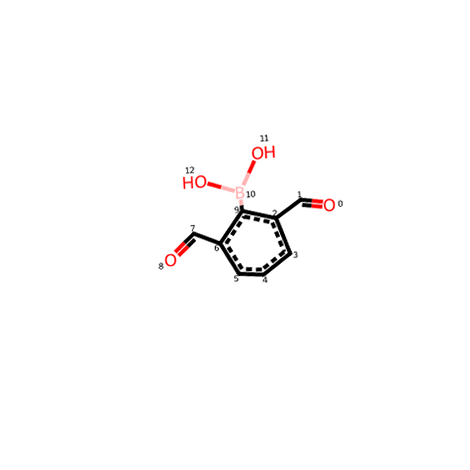 O=Cc1cccc(C=O)c1B(O)O